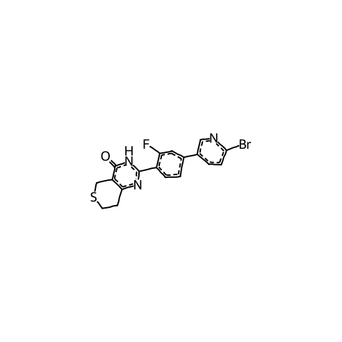 O=c1[nH]c(-c2ccc(-c3ccc(Br)nc3)cc2F)nc2c1CSCC2